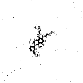 C#Cc1cccc(N(P)c2ncnc3cc(OCCOC)c(OCCOC)c(N)c23)c1